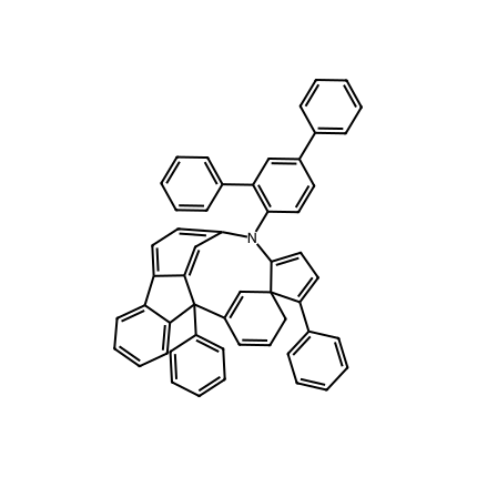 C1=CC2=CC3(C1)C(c1ccccc1)=CC=C3N(c1ccc(-c3ccccc3)cc1-c1ccccc1)c1ccc3c(c1)C2(c1ccccc1)c1ccccc1-3